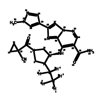 [2H]C([2H])([2H])C([2H])([2H])C1CN(C(=O)C2(C#N)CC2)C[C@H]1Nc1c(C(N)=O)cnn2cc(-c3cnn(C)c3)nc12